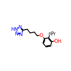 CCCc1c(O)[c]ccc1OCCCCc1nn[nH]n1